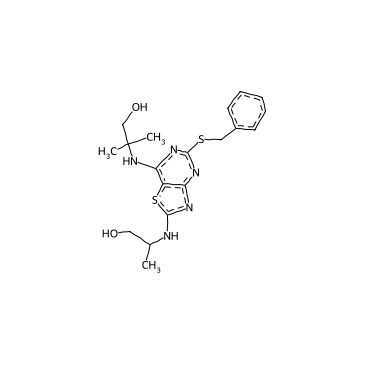 CC(CO)Nc1nc2nc(SCc3ccccc3)nc(NC(C)(C)CO)c2s1